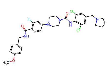 COc1ccc(CNC(=O)c2ccc(N3CCN(C(=O)Nc4c(Cl)cc(CN5CCCC5)cc4Cl)CC3)cc2F)cc1